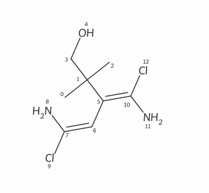 CC(C)(CO)C(/C=C(\N)Cl)=C(/N)Cl